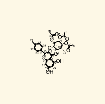 CC(=O)O[C@@H]1[C@@H](OC(C)=O)[C@H](C)C[C@@H](Oc2c(-c3ccc(C)cc3)oc3cc(O)cc(O)c3c2=O)[C@@H]1OC(C)=O